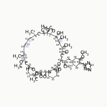 COC1C(=O)[C@@H](C)CC(C)/C=C/C=C/C=C(\C)[C@@H](OC)C[C@@H]2CC[C@@H](C)C(O)(O2)C(=O)C(=O)N2CCCC[C@H]2C(=O)O[C@H]([C@H](C)C[C@@H]2CC[C@H](n3ncnn3)[C@H](OC)C2)CC(=O)[C@H](C)/C=C(\C)[C@H]1O